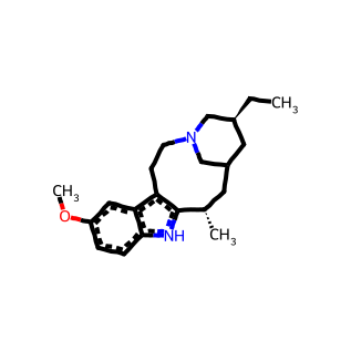 CC[C@H]1CC2C[C@H](C)c3[nH]c4ccc(OC)cc4c3CCN(C2)C1